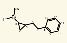 FB(F)[C@@H]1CC1CCc1ccccc1